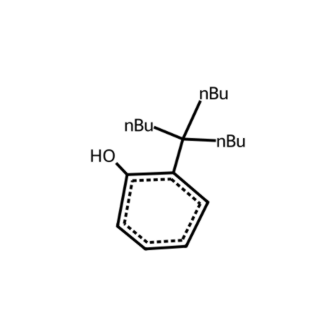 CCCCC(CCCC)(CCCC)c1ccccc1O